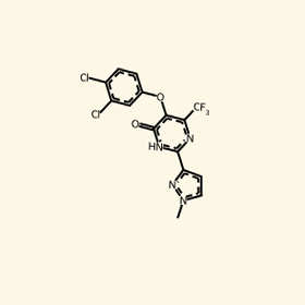 Cn1ccc(-c2nc(C(F)(F)F)c(Oc3ccc(Cl)c(Cl)c3)c(=O)[nH]2)n1